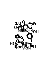 CNC(=O)[C@@H](NC(=O)[C@H](CC(C)C)[C@H](O)C(=O)NO)C(C)(C)C.CNC(=O)[C@H](Cc1ccccc1)NC(=O)[C@H](CC(C)C)[C@H](CSc1cccs1)C(=O)NO